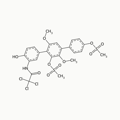 COc1cc(-c2ccc(OS(C)(=O)=O)cc2)c(OC)c(OS(C)(=O)=O)c1-c1ccc(O)c(NC(=O)C(Cl)(Cl)Cl)c1